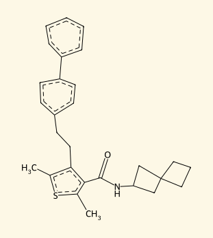 Cc1sc(C)c(C(=O)NC2CC3(CCC3)C2)c1CCc1ccc(-c2ccccc2)cc1